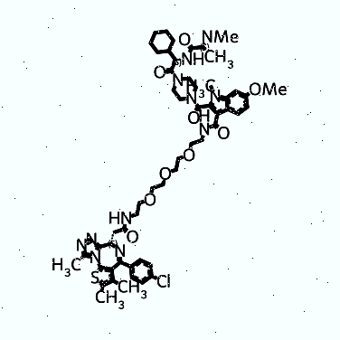 CN[C@@H](C)C(=O)N[C@H](C(=O)N1CCN(C(=O)c2c(C(=O)NCCOCCOCCOCCNC(=O)C[C@@H]3N=C(c4ccc(Cl)cc4)c4c(sc(C)c4C)-n4c(C)nnc43)c3ccc(OC)cc3n2C)CC1)C1CCCCC1